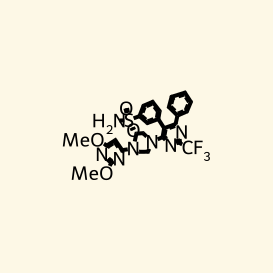 COc1cc(N2CCN(c3nc(C(F)(F)F)nc(-c4ccccc4)c3-c3cccc(S(N)(=O)=O)c3)CC2)nc(OC)n1